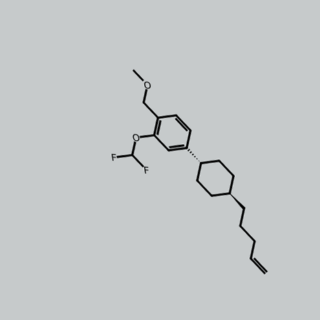 C=CCCC[C@H]1CC[C@H](c2ccc(COC)c(OC(F)F)c2)CC1